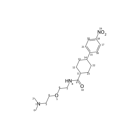 CN(C)CCOCCNC(=O)C1CCC(c2ccc([N+](=O)[O-])cc2)CC1